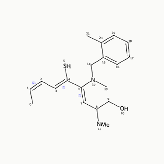 C\C=C/C=C(S)/C(=C/C(CO)NC)N(C)Cc1ccccc1C